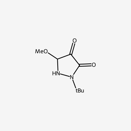 COC1NN(C(C)(C)C)C(=O)C1=O